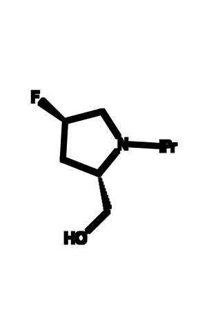 CC(C)N1C[C@H](F)C[C@H]1CO